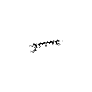 O=C(CCCNCCCC(=O)OC(CO)COCO)OC(CO)CO